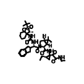 CCNC(=O)C(=O)C1(NC(=O)[C@@H]2[C@@H]3[C@H](CN2C(=O)[C@@H](NC(=O)NC2([C@@H](C)S(=O)(=O)C(C)(C)C)CCCCC2)C2Cc4ccccc4C2)C3(C)C)C[C@H]1CC